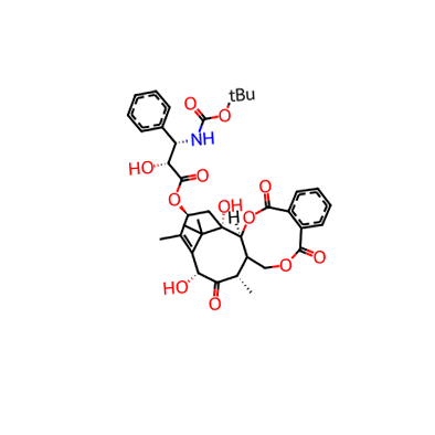 CC1=C2[C@@H](O)C(=O)[C@@H](C)C3COC(=O)c4ccccc4C(=O)O[C@@H]3[C@](O)(C[C@@H]1OC(=O)[C@H](O)[C@@H](NC(=O)OC(C)(C)C)c1ccccc1)C2(C)C